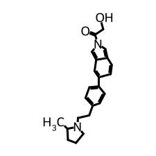 CC1CCCN1CCc1ccc(-c2ccc3cn(C(=O)CO)cc3c2)cc1